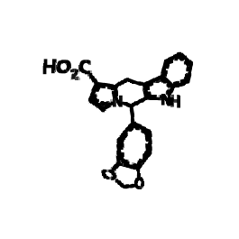 O=C(O)c1ccn2c1Cc1c([nH]c3ccccc13)C2c1ccc2c(c1)OCO2